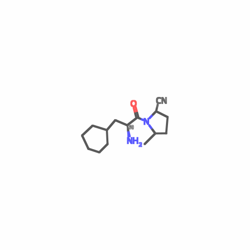 CC1CCC(C#N)N1C(=O)[C@@H](N)CC1CCCCC1